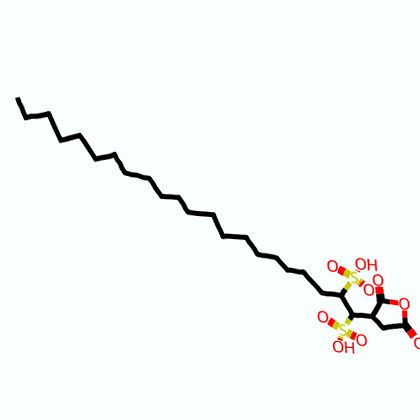 CCCCCCCCCCCCCCCCCCCCC(C(C1CC(=O)OC1=O)S(=O)(=O)O)S(=O)(=O)O